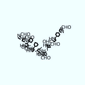 Cc1c[nH]c(C=O)n1.Cc1cc(C)c(C=O)[nH]1.Cc1cc(C=O)[nH]n1.O=Cc1[nH]ccc1-c1ccccc1.O=Cc1cc(-c2ccccc2)c[nH]1.O=Cc1ccc(-c2ccccc2)[nH]1.O=Cc1ccc[nH]1.O=Cc1ncc[nH]1.O=Cn1cccn1